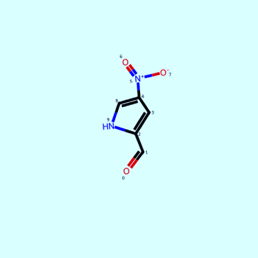 O=[C]c1cc([N+](=O)[O-])c[nH]1